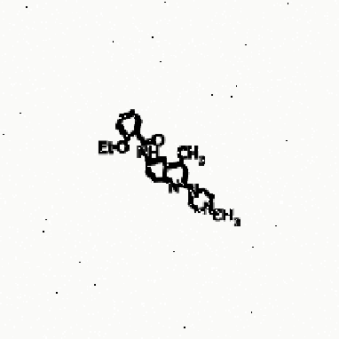 CCOc1ccccc1C(=O)Nc1ccc2nc(N3CCN(C)CC3)cc(C)c2c1